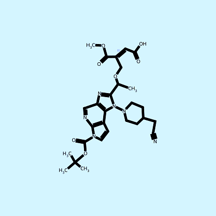 COC(=O)/C(=C/C(=O)O)COC(C)c1nc2cnc3c(ccn3C(=O)OC(C)(C)C)c2n1N1CCC(CC#N)CC1